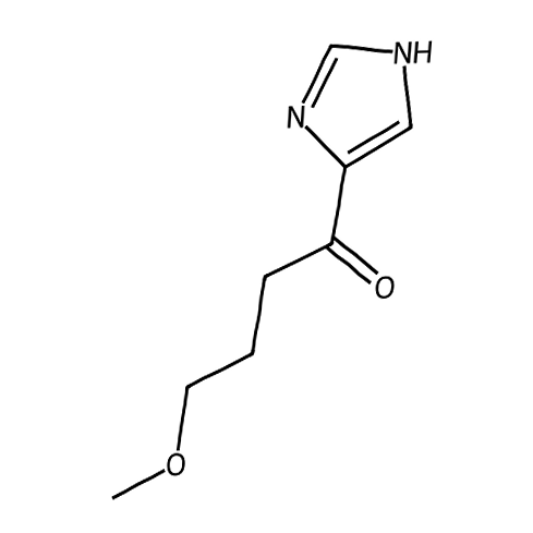 COCCCC(=O)c1c[nH]cn1